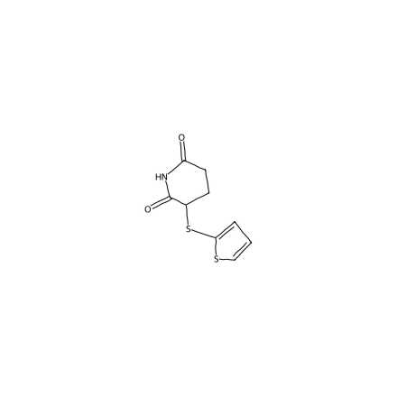 O=C1CCC(Sc2cccs2)C(=O)N1